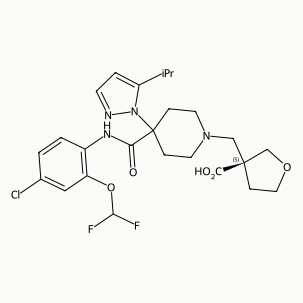 CC(C)c1ccnn1C1(C(=O)Nc2ccc(Cl)cc2OC(F)F)CCN(C[C@@]2(C(=O)O)CCOC2)CC1